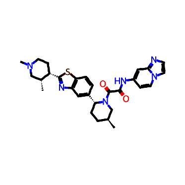 C[C@H]1CC[C@H](c2ccc3sc([C@H]4CCN(C)C[C@H]4C)nc3c2)N(C(=O)C(=O)Nc2ccn3ccnc3c2)C1